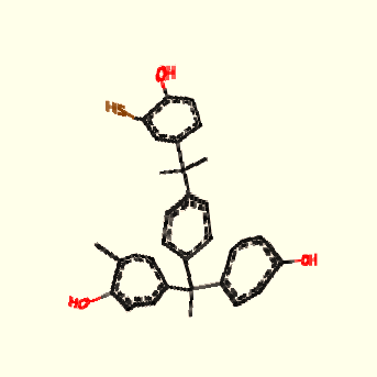 Cc1cc(C(C)(c2ccc(O)cc2)c2ccc(C(C)(C)c3ccc(O)c(S)c3)cc2)ccc1O